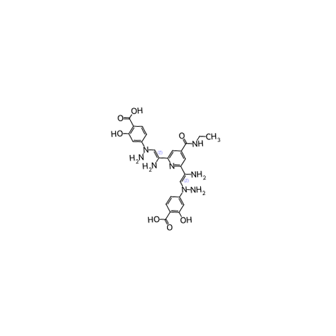 CCNC(=O)c1cc(/C(N)=C/N(N)c2ccc(C(=O)O)c(O)c2)nc(/C(N)=C/N(N)c2ccc(C(=O)O)c(O)c2)c1